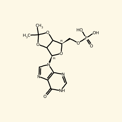 CC1(C)OC2C(O1)[C@@H](COP(=O)(O)O)O[C@H]2n1cnc2c(=O)[nH]cnc21